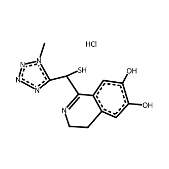 Cl.Cn1nnnc1C(S)C1=NCCc2cc(O)c(O)cc21